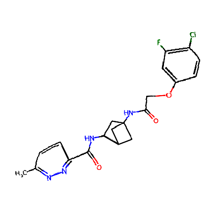 Cc1ccc(C(=O)NC2CC3(NC(=O)COc4ccc(Cl)c(F)c4)CC2C3)nn1